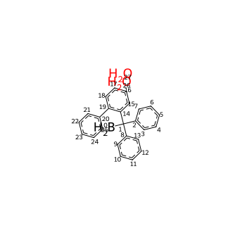 BC(c1ccccc1)(c1ccccc1)c1ccccc1-c1ccccc1.O.O